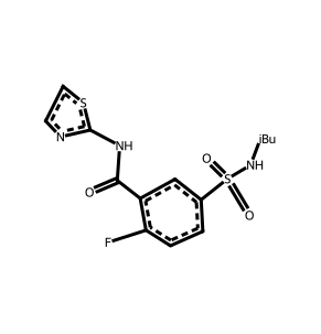 CCC(C)NS(=O)(=O)c1ccc(F)c(C(=O)Nc2nccs2)c1